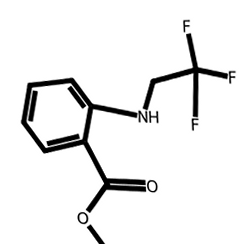 COC(=O)c1ccccc1NCC(F)(F)F